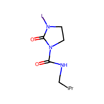 CC(C)CNC(=O)N1CCN(I)C1=O